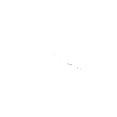 CC(C)(C)OC(=O)CN1CCCC1(C)C#C[Si](C)(C)C